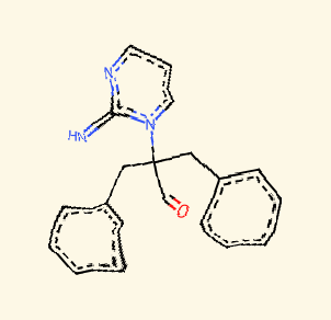 N=c1ncccn1C(C=O)(Cc1ccccc1)Cc1ccccc1